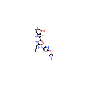 CCCCC(NC(=O)c1[nH]c2c(c1C)C(=O)CC(C)(C)C2)C(=O)Nc1ccc(OC2CN(C)C2)nc1